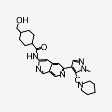 Cn1ncc(-c2cc3cc(NC(=O)C4CCC(CO)CC4)ncc3cn2)c1CN1CCCCC1